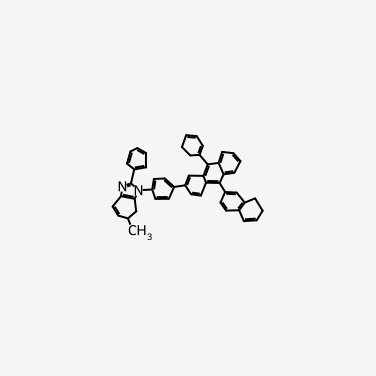 CC1C=Cc2nc(-c3ccccc3)n(-c3ccc(-c4ccc5c(-c6ccc7c(c6)CCC=C7)c6ccccc6c(C6=CC=CCC6)c5c4)cc3)c2C1